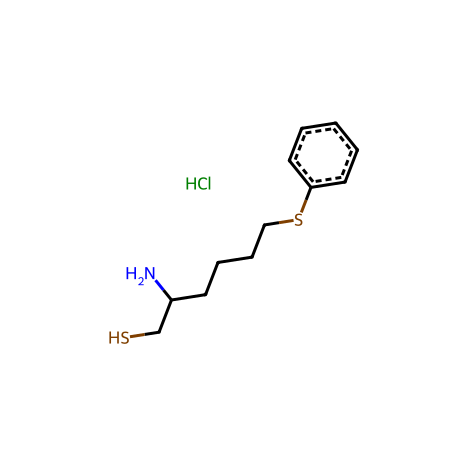 Cl.NC(CS)CCCCSc1ccccc1